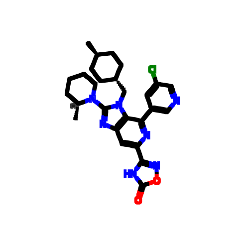 C[C@@H]1CCCCN1c1nc2cc(-c3noc(=O)[nH]3)nc(-c3cncc(Cl)c3)c2n1C[C@H]1CC[C@H](C)CC1